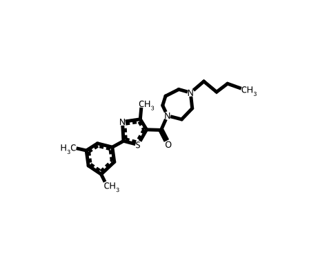 CCCCN1CCCN(C(=O)c2sc(-c3cc(C)cc(C)c3)nc2C)CC1